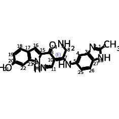 Cc1nc2cc(N/C(CN)=C(\C=N)C(=O)c3cc4ccc(O)cc4[nH]3)ccc2[nH]1